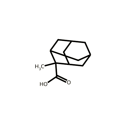 CC1(C(=O)O)C2CC3CC(C2)CC1C3